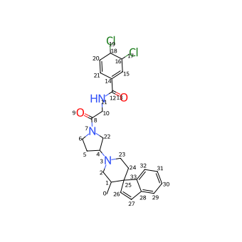 CC1CN(C2CCN(C(=O)CNC(=O)C3=CC(Cl)C(Cl)C=C3)C2)CCC12C=Cc1ccccc12